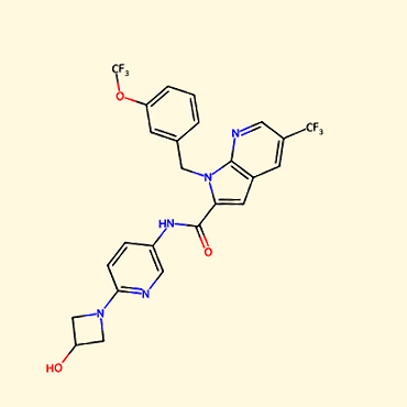 O=C(Nc1ccc(N2CC(O)C2)nc1)c1cc2cc(C(F)(F)F)cnc2n1Cc1cccc(OC(F)(F)F)c1